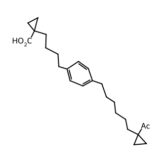 CC(=O)C1(CCCCCCc2ccc(CCCCC3(C(=O)O)CC3)cc2)CC1